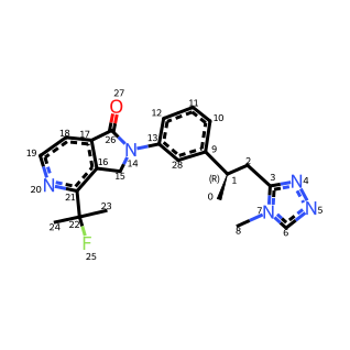 C[C@H](Cc1nncn1C)c1cccc(N2Cc3c(ccnc3C(C)(C)F)C2=O)c1